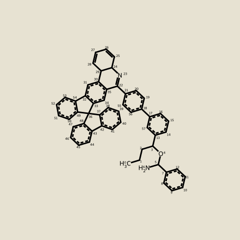 CCCC(OC(N)c1ccccc1)c1cccc(-c2ccc(C3=NC4C=CC=CC4c4cc5c(cc43)C3(c4ccccc4-c4ccccc43)c3ccccc3-5)cc2)c1